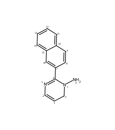 NN1[CH]C=CN=C1c1ccc2ccccc2c1